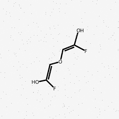 OC(F)=COC=C(O)F